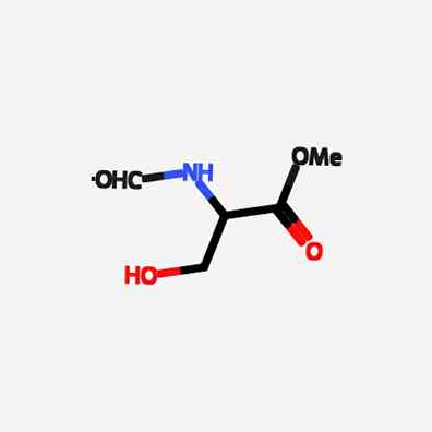 COC(=O)C(CO)N[C]=O